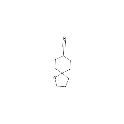 N#CC1CCC2(CCCO2)CC1